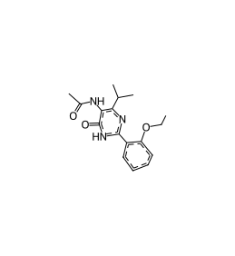 CCOc1ccccc1-c1nc(C(C)C)c(NC(C)=O)c(=O)[nH]1